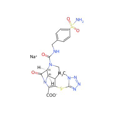 Cn1nnnc1SC1=C(C(=O)[O-])N2C(=O)[C@@H]3[C@H]2C1CCN3C(=O)NCc1ccc(S(N)(=O)=O)cc1.[Na+]